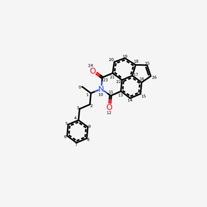 CC(CCc1ccccc1)N1C(=O)c2ccc3c4c(ccc(c24)C1=O)C=C3